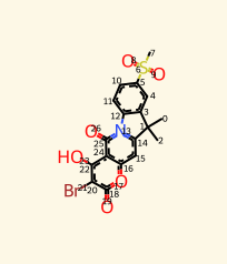 CC1(C)c2cc(S(C)(=O)=O)ccc2-n2c1cc1oc(=O)c(Br)c(O)c1c2=O